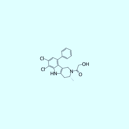 C[C@@H]1Cc2[nH]c3c(Cl)c(Cl)cc(-c4ccccc4)c3c2CN1C(=O)CO